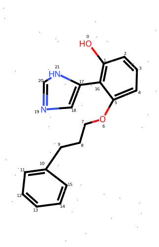 Oc1cccc(OCCCc2ccccc2)c1-c1cnc[nH]1